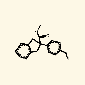 COC(=O)C1(c2ccc(CBr)cc2)Cc2ccccc2C1